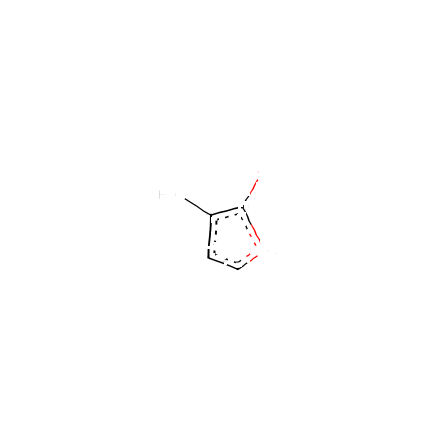 Cc1ccoc1[O]